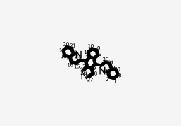 c1ccc2nc(-c3c4ccccc4c(-c4ccc5ccccc5n4)c4cnccc34)ccc2c1